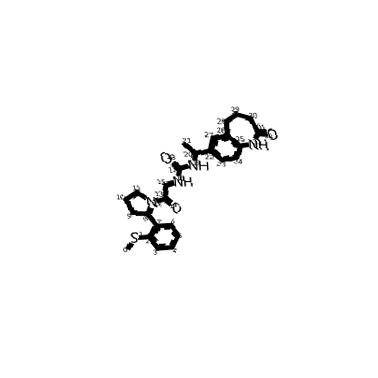 CSc1ccccc1C1CCCN1C(=O)CNC(=O)NC(C)c1ccc2c(c1)CCCC(=O)N2